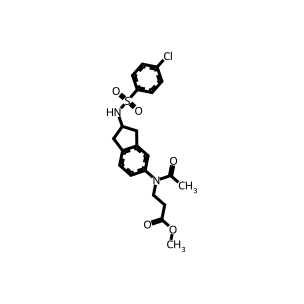 COC(=O)CCN(C(C)=O)c1ccc2c(c1)CC(NS(=O)(=O)c1ccc(Cl)cc1)C2